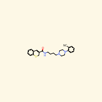 N#Cc1ccccc1N1CCN(CCCCNC(=O)C2=Cc3ccccc3SC2)CC1